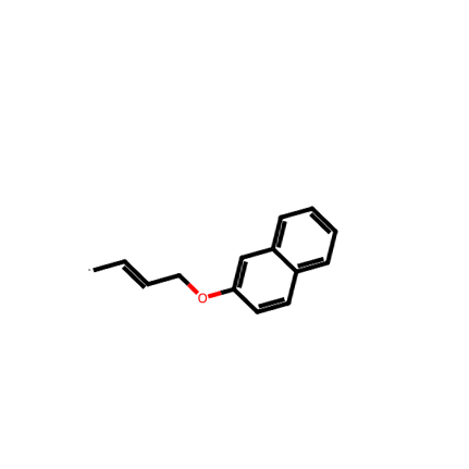 [CH2]C=CCOc1ccc2ccccc2c1